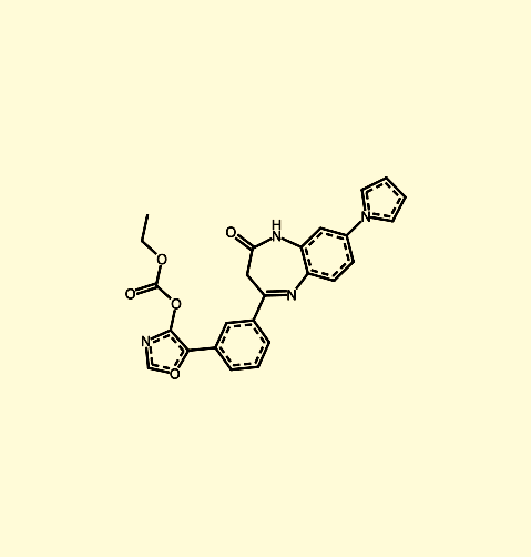 CCOC(=O)Oc1ncoc1-c1cccc(C2=Nc3ccc(-n4cccc4)cc3NC(=O)C2)c1